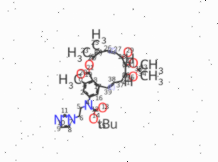 Cc1cc(N(CCn2ccnc2)C(=O)OC(C)(C)C)cc2c1C(=O)O[C@@H](C)[C@H](C)/C=C\C(=O)[C@H]1OC(C)(C)O[C@H]1C/C=C/2